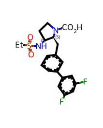 CCS(=O)(=O)N[C@H]1CCN(C(=O)O)[C@H]1Cc1cccc(-c2cc(F)cc(F)c2)c1